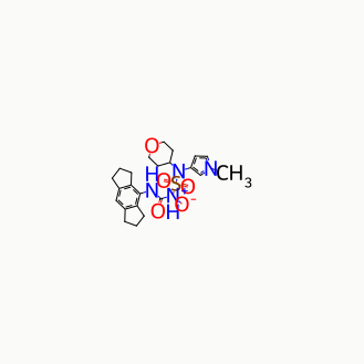 Cn1ccc(N(C2CCOCC2)S(=O)(=O)[NH+]([O-])C(=O)Nc2c3c(cc4c2CCC4)CCC3)c1